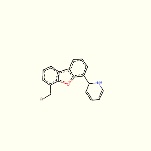 CC(C)Cc1cccc2c1oc1c(C3C=CC=CN3)cccc12